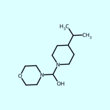 CC(C)C1CCN(C(O)N2CCOCC2)CC1